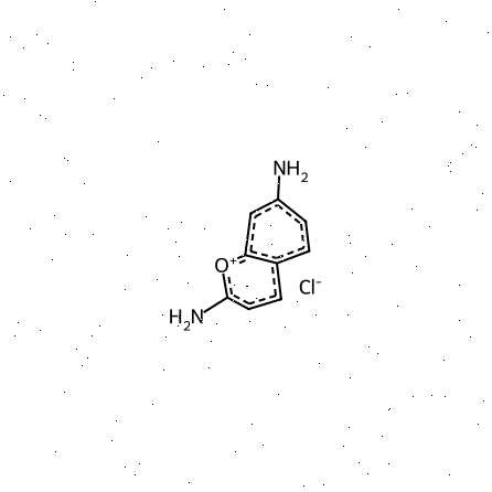 Nc1ccc2ccc(N)[o+]c2c1.[Cl-]